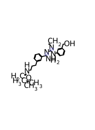 C=C/N=C(\N=C(/N)c1cccc(CCCNC(=C)OC(C)(C)C)c1)Nc1cccc(CO)c1